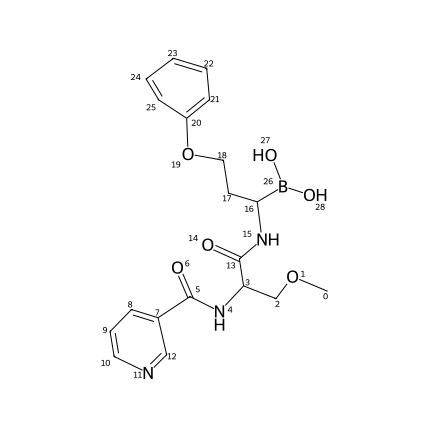 COCC(NC(=O)c1cccnc1)C(=O)NC(CCOc1ccccc1)B(O)O